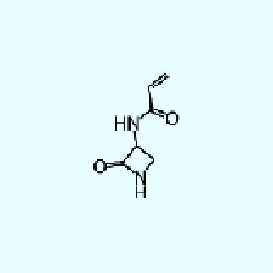 C=CC(=O)NC1CNC1=O